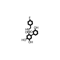 O=S(=O)(NCc1ccc(F)cc1)c1cc(O)c(O)cc1-c1cccc(O)c1